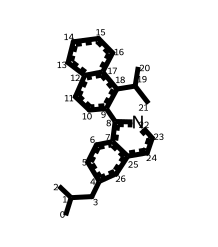 CC(C)Cc1ccc2c(-c3ccc4ccccc4c3C(C)C)nccc2c1